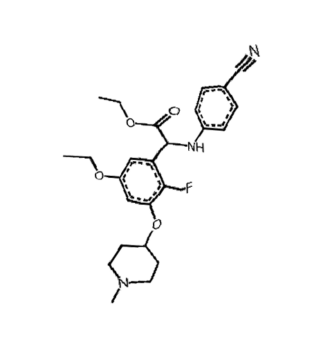 CCOC(=O)C(Nc1ccc(C#N)cc1)c1cc(OCC)cc(OC2CCN(C)CC2)c1F